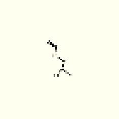 C=COCC(C)[O]